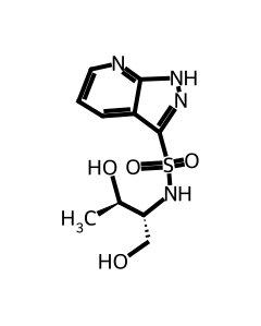 C[C@@H](O)[C@@H](CO)NS(=O)(=O)c1n[nH]c2ncccc12